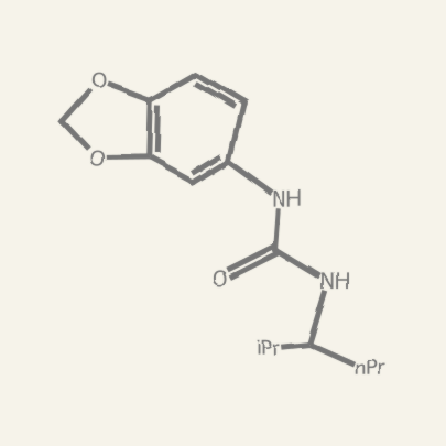 CCCC(NC(=O)Nc1ccc2c(c1)OCO2)C(C)C